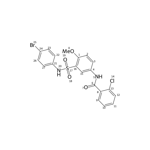 COc1ccc(NC(=O)c2ccccc2Cl)cc1S(=O)(=O)Nc1ccc(Br)cc1